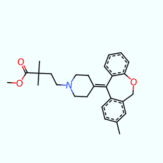 COC(=O)C(C)(C)CCN1CCC(=C2c3ccc(C)cc3COc3ccccc32)CC1